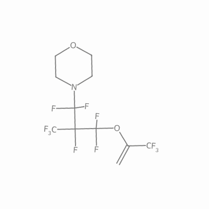 C=C(OC(F)(F)C(F)(C(F)(F)F)C(F)(F)N1CCOCC1)C(F)(F)F